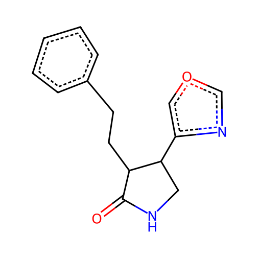 O=C1NCC(c2cocn2)C1CCc1ccccc1